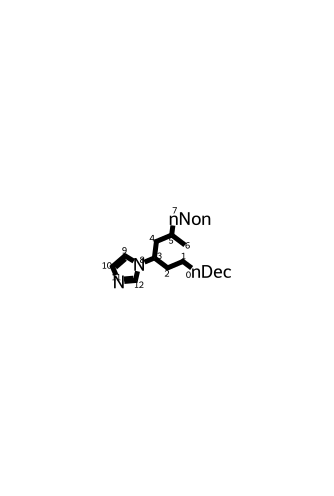 CCCCCCCCCCCCC(CC(C)CCCCCCCCC)n1ccnc1